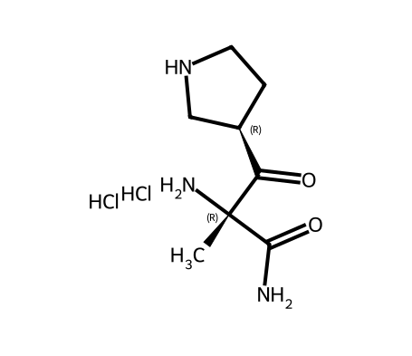 C[C@](N)(C(N)=O)C(=O)[C@@H]1CCNC1.Cl.Cl